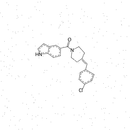 O=C(c1ccc2[nH]ccc2c1)N1CCC(=Cc2ccc(Cl)cc2)CC1